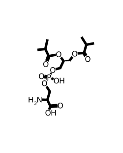 CC(C)C(=O)OC[C@@H](COP(=O)(O)OCC(N)C(=O)O)OC(=O)C(C)C